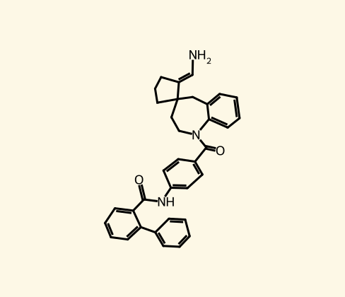 NC=C1CCCC12CCN(C(=O)c1ccc(NC(=O)c3ccccc3-c3ccccc3)cc1)c1ccccc1C2